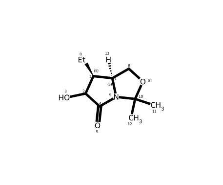 CC[C@@H]1C(O)C(=O)N2[C@@H]1COC2(C)C